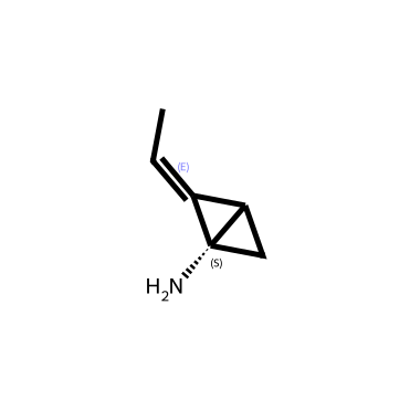 C/C=C1\C2C[C@@]12N